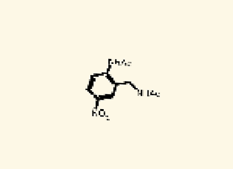 CC(=O)NCc1cc([N+](=O)[O-])ccc1NC(C)=O